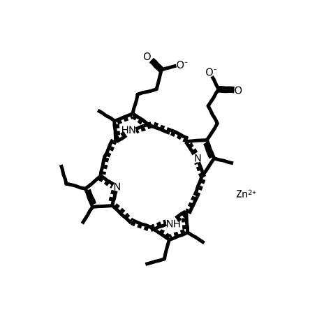 CCC1=C(C)c2cc3[nH]c(cc4nc(cc5[nH]c(cc1n2)c(C)c5CCC(=O)[O-])C(CCC(=O)[O-])=C4C)c(C)c3CC.[Zn+2]